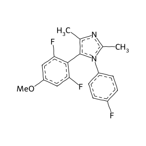 COc1cc(F)c(-c2c(C)nc(C)n2-c2ccc(F)cc2)c(F)c1